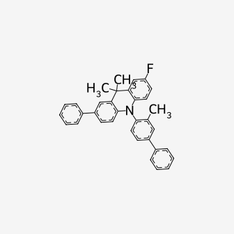 Cc1cc(-c2ccccc2)ccc1N1c2ccc(F)cc2C(C)(C)c2cc(-c3ccccc3)ccc21